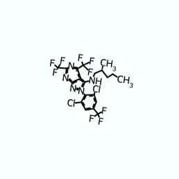 CCC[C@H](C)CNc1c2c(C(F)(F)F)nc(C(F)(F)F)nc2nn1-c1c(Cl)cc(C(F)(F)F)cc1Cl